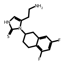 NCCc1c[nH]c(=S)n1C1CCc2c(F)cc(F)cc2C1